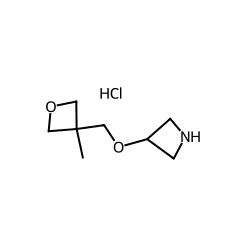 CC1(COC2CNC2)COC1.Cl